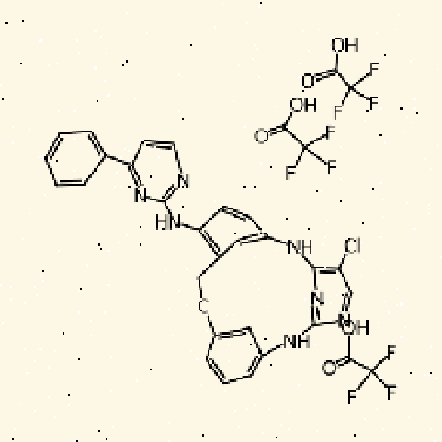 Clc1cnc2nc1Nc1ccc(Nc3nccc(-c4ccccc4)n3)c(c1)CCc1cccc(c1)N2.O=C(O)C(F)(F)F.O=C(O)C(F)(F)F.O=C(O)C(F)(F)F